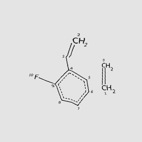 C=C.C=Cc1ccccc1F